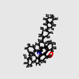 c1ccc(-c2ccccc2-c2c(-c3ccccc3)cccc2N(c2ccc(-c3ccc(-c4ccc5ccccc5c4)cc3)cc2)c2cccc3oc4ccccc4c23)cc1